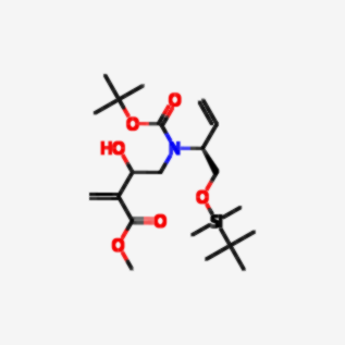 C=C[C@@H](CO[Si](C)(C)C(C)(C)C)N(CC(O)C(=C)C(=O)OC)C(=O)OC(C)(C)C